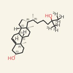 [2H]C([2H])([2H])C(O)(CCC[C@@H](C)[C@H]1CC[C@H]2[C@@H]3CC=C4C[C@@H](O)CC[C@]4(C)[C@H]3CC[C@]12C)C([2H])([2H])[2H]